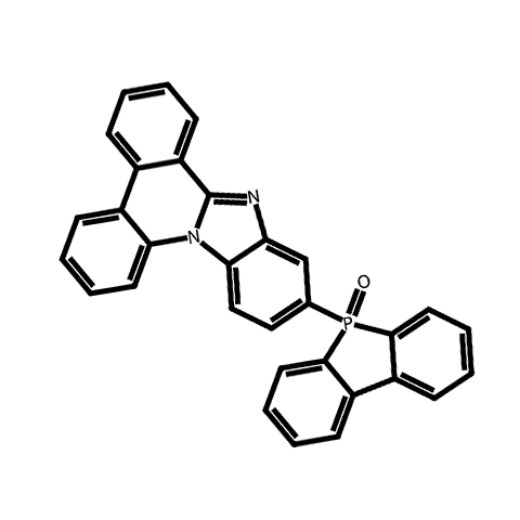 O=P1(c2ccc3c(c2)nc2c4ccccc4c4ccccc4n32)c2ccccc2-c2ccccc21